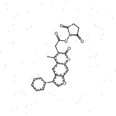 Cc1c(CC(=O)ON2C(=O)CCC2=O)c(=O)oc2cc3occ(-c4ccccc4)c3cc12